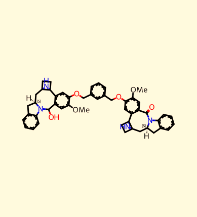 COc1cc2c(cc1OCc1cccc(COc3cc4c(cc3OC)C(O)N3c5ccccc5C[C@H]3CC35CCC43N5)c1)C13CCC1(C[C@@H]1Cc4ccccc4N1C2=O)N3